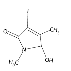 CC1=C(I)C(=O)N(C)C1O